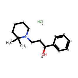 CC1(C)CCCCN1CCC(O)c1ccccc1.Cl